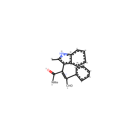 CNC(=O)/C(=C(\C=O)c1ccccc1)c1c(C)[nH]c2ccccc12